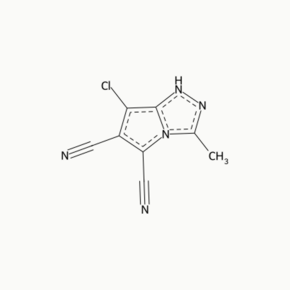 Cc1n[nH]c2c(Cl)c(C#N)c(C#N)n12